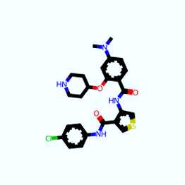 CN(C)c1ccc(C(=O)Nc2cscc2C(=O)Nc2ccc(Cl)cc2)c(OC2CCNCC2)c1